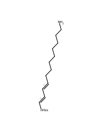 CCCCCC/C=C/C=C/CCCCCCCCN